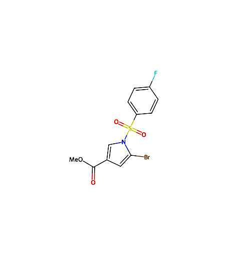 COC(=O)c1cc(Br)n(S(=O)(=O)c2ccc(F)cc2)c1